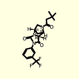 CC(C)(C)CC(=O)N1C[C@@H]2C[C@H]1[C@@H]1C(=O)N(c3cccc(C(F)(F)F)c3)C(=O)N21